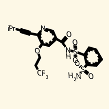 CC(C)C#Cc1ncc(C(=O)NS(=O)(=O)c2ccccc2S(N)(=O)=O)cc1OCCC(F)(F)F